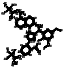 CCc1cc(OC)c(F)c(C(Nc2ccc3c(N)nccc3c2)c2nc(-c3ccccc3C(C)=O)c[nH]2)c1.O=C(O)C(F)(F)F.O=C(O)C(F)(F)F